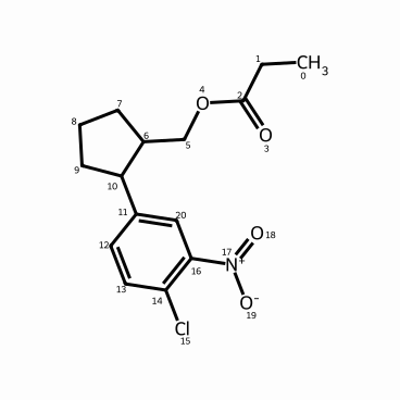 CCC(=O)OCC1CCCC1c1ccc(Cl)c([N+](=O)[O-])c1